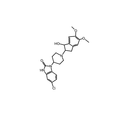 COc1cc2c(cc1OC)C(O)C(N1CCC(n3c(=O)[nH]c4cc(Cl)ccc43)CC1)C2